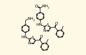 Cc1ccccc1C(=O)c1cnc(Nc2ccc(C(N)=O)cc2)s1.Cc1ccccc1C(=O)c1cnc(Nc2ccc(CN)cc2)s1